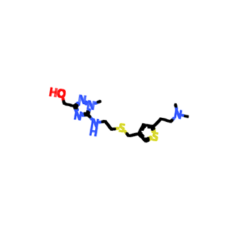 CN(C)CCc1cc(CSCCNc2nc(CO)nn2C)cs1